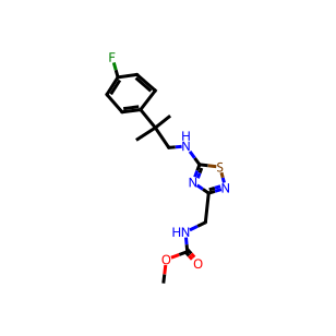 COC(=O)NCc1nsc(NCC(C)(C)c2ccc(F)cc2)n1